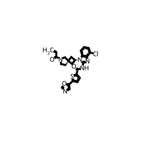 C=CC(=O)N1CC[C@]2(C1)C[C@@H](n1c(NC(=O)c3ccc(-c4cnco4)s3)nc3c(Cl)cccc31)C2